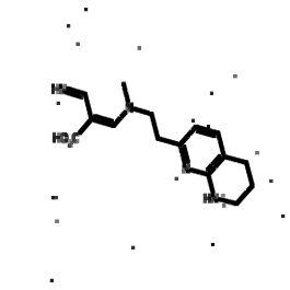 CN(/C=C(\C=N)C(=O)O)CCc1ccc2c(n1)NCCC2